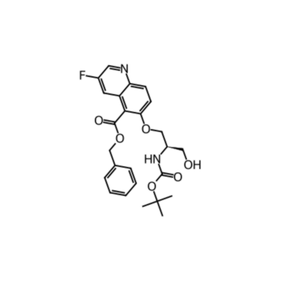 CC(C)(C)OC(=O)N[C@H](CO)COc1ccc2ncc(F)cc2c1C(=O)OCc1ccccc1